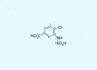 O=C(O)c1ccc(Cl)c(NS(=O)(=O)O)c1